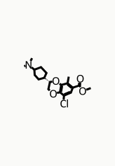 COC(=O)c1cc(Cl)c2c(c1C)O[C@@H](C1CCC(N(C)C)CC1)CO2